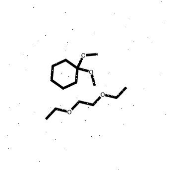 CCOCCOCC.COC1(OC)CCCCC1